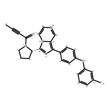 CC#CC(=O)N1CCC[C@H]1c1nc(-c2ccc(Oc3cccc(F)c3)cc2)c2cnccn12